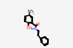 O=C(NCCc1ccccc1)c1cc([N+](=O)[O-])ccc1O